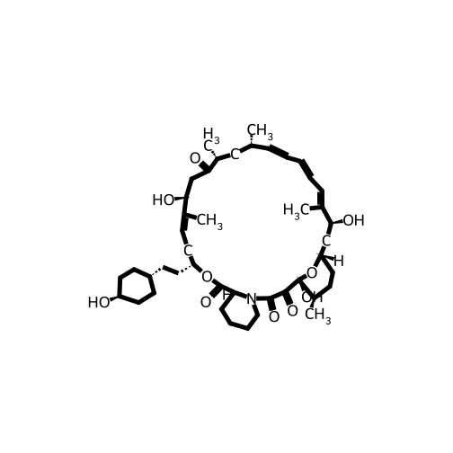 C/C1=C\C[C@@H](CC[C@H]2CC[C@H](O)CC2)OC(=O)[C@@H]2CCCCN2C(=O)C(=O)[C@]2(O)O[C@@H](CC[C@H]2C)C[C@H](O)/C(C)=C/C=C/C=C/[C@@H](C)C[C@@H](C)C(=O)C[C@@H]1O